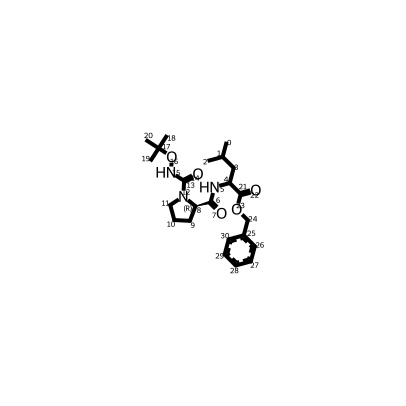 CC(C)CC(NC(=O)[C@H]1CCCN1C(=O)NOC(C)(C)C)C(=O)OCc1ccccc1